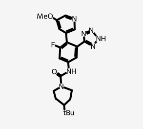 COc1cncc(-c2c(F)cc(NC(=O)N3CCC(C(C)(C)C)CC3)cc2-c2nn[nH]n2)c1